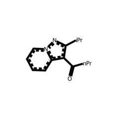 CCCC(=O)c1c(C(C)C)nn2ccccc12